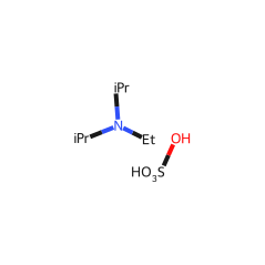 CCN(C(C)C)C(C)C.O=S(=O)(O)O